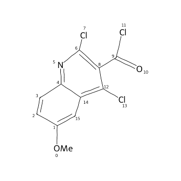 COc1ccc2nc(Cl)c(C(=O)Cl)c(Cl)c2c1